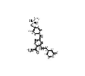 CCS(=O)(=O)Oc1ccc(Nc2ncc(C(N)=O)c(NCc3cccc(F)c3)n2)cc1C